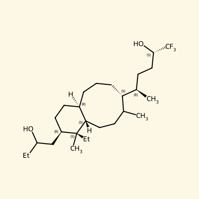 CCC(O)C[C@H]1CC[C@H]2CCC[C@H]([C@H](C)CC[C@H](O)C(F)(F)F)C(C)CC[C@@H]2[C@@]1(C)CC